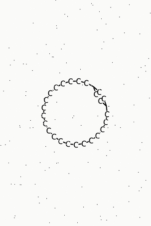 C1CCCCCCCCCC[C]2CCC(CCCCCCCCCC1)CC2